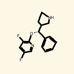 Fc1cnc(O[C@@H](c2ccccc2)C2CCNC2)c(F)c1